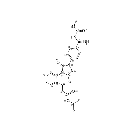 COC(=O)NC(=N)c1ccc(-n2nc(C)n(-c3ccccc3CCC(=O)OC(C)C)c2=O)cc1